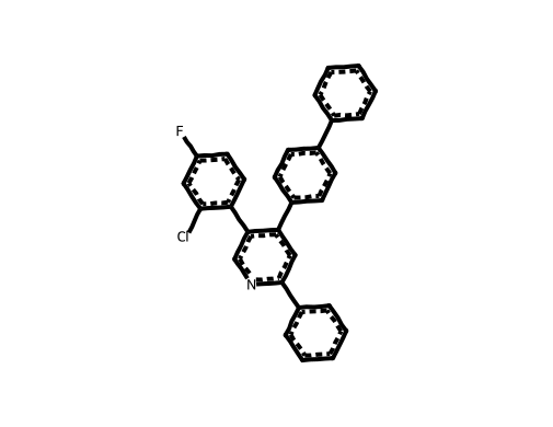 Fc1ccc(-c2cnc(-c3ccccc3)cc2-c2ccc(-c3ccccc3)cc2)c(Cl)c1